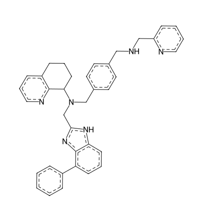 c1ccc(-c2cccc3[nH]c(CN(Cc4ccc(CNCc5ccccn5)cc4)C4CCCc5cccnc54)nc23)cc1